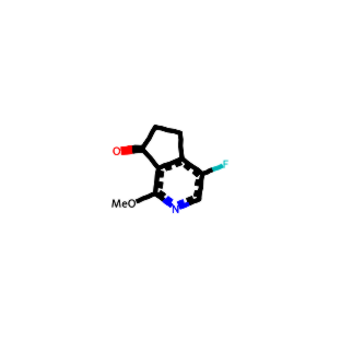 COc1ncc(F)c2c1C(=O)CC2